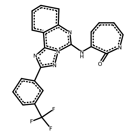 O=c1nccccc1Nc1nc2ccccc2c2nc(-c3cccc(C(F)(F)F)c3)nn12